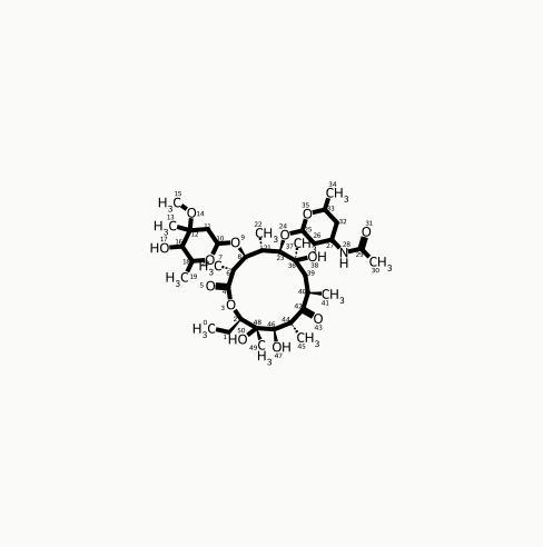 CC[C@H]1OC(=O)[C@H](C)[C@@H](OC2CC(C)(OC)C(O)C(C)O2)[C@H](C)[C@@H](OC2CC(NC(C)=O)CC(C)O2)[C@@](C)(O)C[C@@H](C)C(=O)[C@H](C)[C@@H](O)[C@]1(C)O